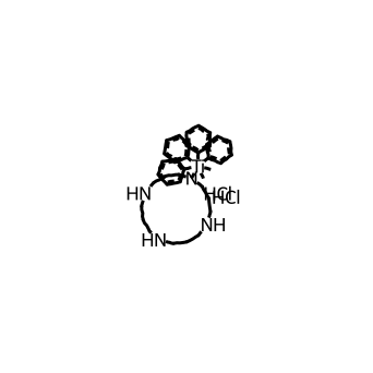 Cl.Cl.[CH3][Ti]([CH3])([c]1ccccc1)([c]1ccccc1)([c]1ccccc1)([c]1ccccc1)[N]1CCCNCCCNCCCNCCC1